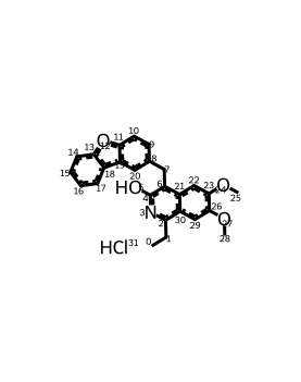 CCc1nc(O)c(Cc2ccc3oc4ccccc4c3c2)c2cc(OC)c(OC)cc12.Cl